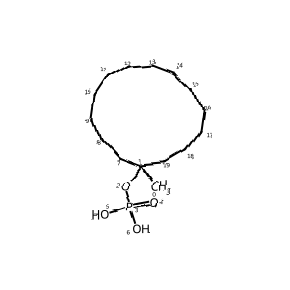 CC1(OP(=O)(O)O)CCCCCCCCCCCCC1